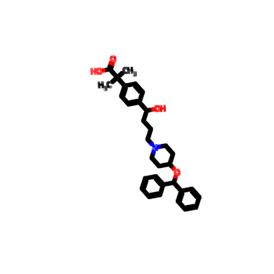 CC(C)(C(=O)O)c1ccc(C(O)CCCN2CCC(OC(c3ccccc3)c3ccccc3)CC2)cc1